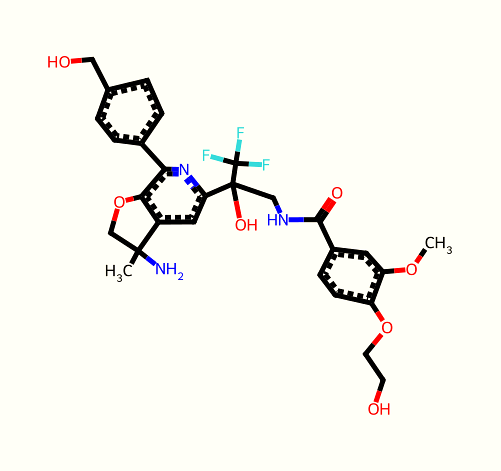 COc1cc(C(=O)NCC(O)(c2cc3c(c(-c4ccc(CO)cc4)n2)OCC3(C)N)C(F)(F)F)ccc1OCCO